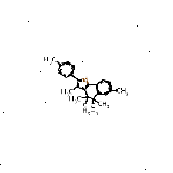 Cc1ccc(-c2sc3c(c2C)C(C)(C)C(C)(C)c2cc(C)ccc2-3)cc1